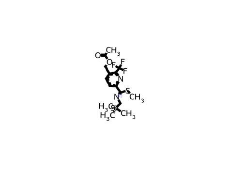 CS/C(=N\C[Si](C)(C)C)c1ccc(COC(C)=O)c(C(F)(F)F)n1